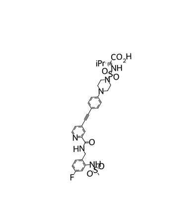 CC(C)[C@@H](NS(=O)(=O)N1CCN(c2ccc(C#Cc3ccnc(C(=O)NCc4ccc(F)cc4NS(C)(=O)=O)c3)cc2)CC1)C(=O)O